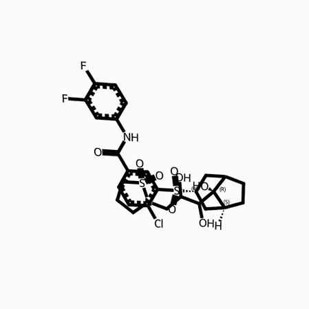 O=C(Nc1ccc(F)c(F)c1)c1ccc(Cl)c(S(=O)(=O)[C@@H]2CC3CC[C@@H](C2)[C@@]3(O)C(O)C(O)CN2CCCS2(=O)=O)c1